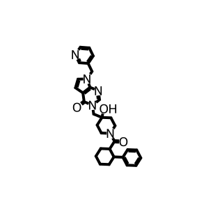 O=C(C1CCCCC1c1ccccc1)N1CCC(O)(Cn2cnc3c(ccn3Cc3cccnc3)c2=O)CC1